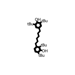 CC(C)(C)c1cc(CCCCCCc2ccc(C(C)(C)C)c(O)c2C(C)(C)C)cc(C(C)(C)C)c1O